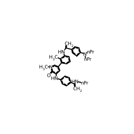 C=C(NCCC)c1ccc(Nc2cc(-c3cccc(NC(=C)c4ccc(N(CCC)CCC)cc4)c3C)cn(C)c2=O)cc1